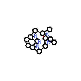 c1ccc(-n2c3ccccc3c3cc(-c4cccc5c6cc7ccccc7c7c8c9c%10c%11ccccc%11cc%11c%12cccc(-c%13ccc%14c(c%13)c%13ccccc%13n%14-c%13ccccc%13)c%12n(c9ncc8n(c45)c67)c%11%10)ccc32)cc1